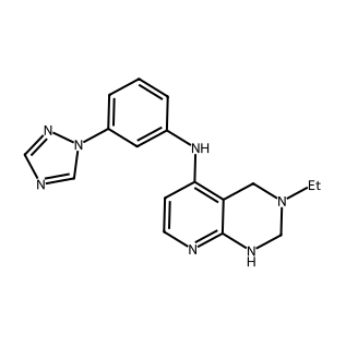 CCN1CNc2nccc(Nc3cccc(-n4cncn4)c3)c2C1